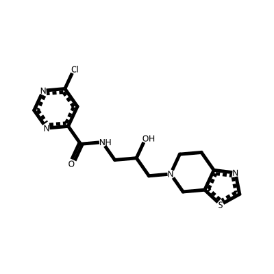 O=C(NCC(O)CN1CCc2ncsc2C1)c1cc(Cl)ncn1